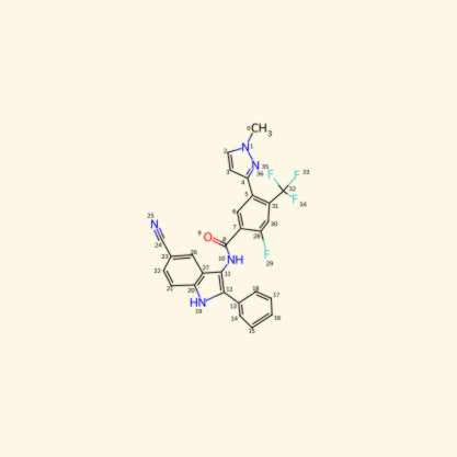 Cn1ccc(-c2cc(C(=O)Nc3c(-c4ccccc4)[nH]c4ccc(C#N)cc34)c(F)cc2C(F)(F)F)n1